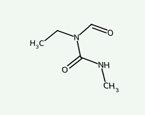 CCN(C=O)C(=O)NC